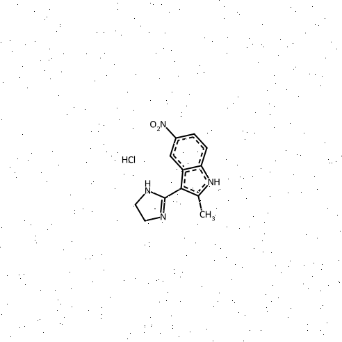 Cc1[nH]c2ccc([N+](=O)[O-])cc2c1C1=NCCN1.Cl